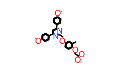 COC(=O)COc1ccc(OCc2nc(-c3ccc(OC)cc3)cc(-c3ccc(OC)cc3)n2)cc1C